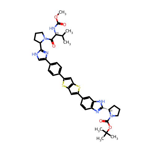 COC(=O)N[C@H](C(=O)N1CCCC1c1nc(-c2ccc(-c3cc4sc(-c5ccc6nc([C@@H]7CCCN7C(=O)OC(C)(C)C)[nH]c6c5)cc4s3)cc2)c[nH]1)C(C)C